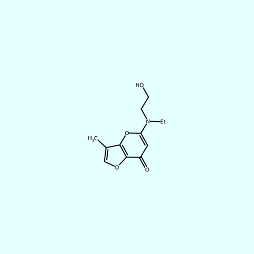 CCN(CCO)c1cc(=O)c2occ(C)c2o1